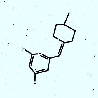 CC1CCC(=Cc2cc(F)cc(F)c2)CC1